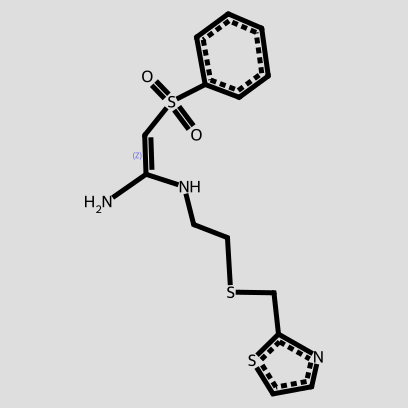 N/C(=C/S(=O)(=O)c1ccccc1)NCCSCc1nccs1